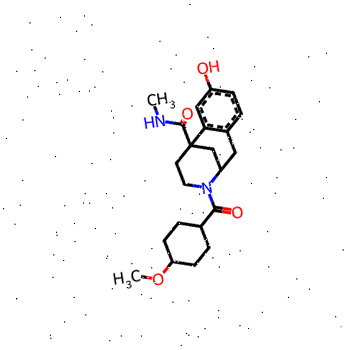 CNC(=O)C12CCN(C(=O)C3CCC(OC)CC3)C(Cc3ccc(O)cc31)C2